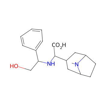 CN1C2CCC1CC(C(NC(CO)c1ccccc1)C(=O)O)C2